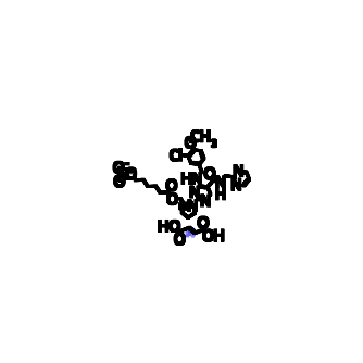 COc1ccc(CNc2nc(N3CCC[C@H]3COC(=O)CCCCCO[N+](=O)[O-])ncc2C(=O)NCc2ncccn2)cc1Cl.O=C(O)/C=C/C(=O)O